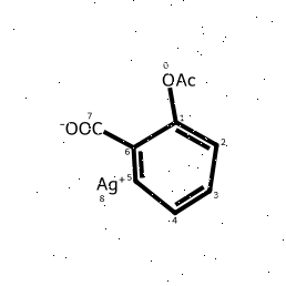 CC(=O)Oc1ccccc1C(=O)[O-].[Ag+]